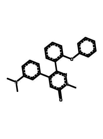 CN(C)c1cccc(-c2cc(=O)n(C)nc2-c2ccccc2Oc2ccccc2)c1